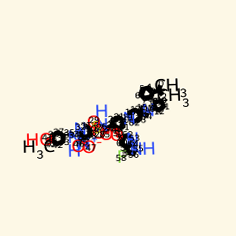 CC(C)c1ccccc1[C@@H]1CCC[C@@H]1N1CC2(CCN(c3ccc(C(=O)NS(=O)(=O)c4cnc(NC[C@H]5CC[C@](C)(O)CC5)c([N+](=O)[O-])c4)c(Oc4cnc5[nH]cc(F)c5c4)c3)CC2)C1